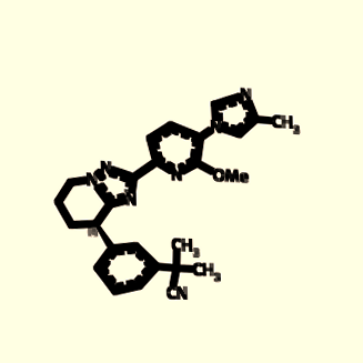 COc1nc(-c2nc3n(n2)CCC[C@@H]3c2cccc(C(C)(C)C#N)c2)ccc1-n1cnc(C)c1